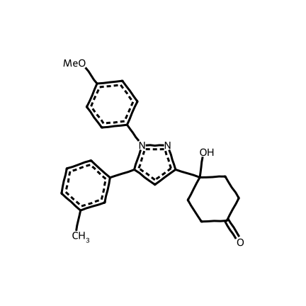 COc1ccc(-n2nc(C3(O)CCC(=O)CC3)cc2-c2cccc(C)c2)cc1